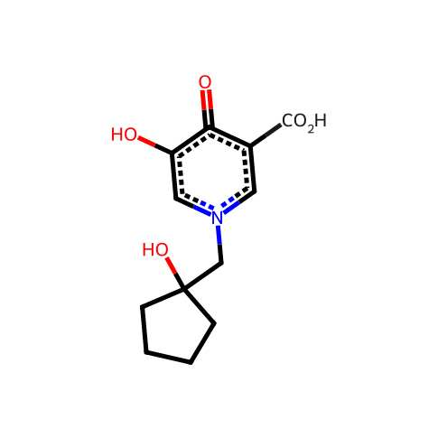 O=C(O)c1cn(CC2(O)CCCC2)cc(O)c1=O